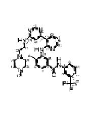 Cc1ccc(C(=O)Nc2cccc(C(F)(F)F)c2)cc1Nc1ncncc1-c1cc(NCCN2CCN(C)CC2)ncn1